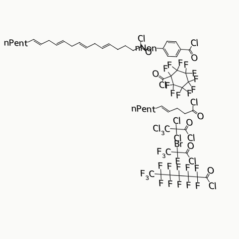 CCCCCC=CCC=CCC=CCC=CCCCC(=O)Cl.CCCCCC=CCCC(=O)Cl.CCCCCCCCCc1ccc(C(=O)Cl)cc1.O=C(Cl)C(Cl)(Cl)C(Cl)(Cl)Cl.O=C(Cl)C(F)(Br)C(F)(F)F.O=C(Cl)C(F)(F)C(F)(F)C(F)(F)C(F)(F)C(F)(F)C(F)(F)F.O=C(Cl)C1(F)C(F)(F)C(F)(F)C(F)(F)C(F)(F)C1(F)F